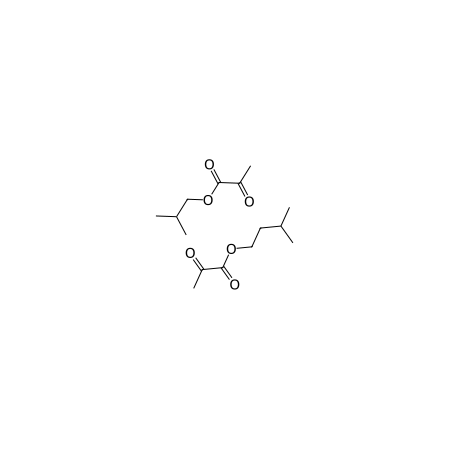 CC(=O)C(=O)OCC(C)C.CC(=O)C(=O)OCCC(C)C